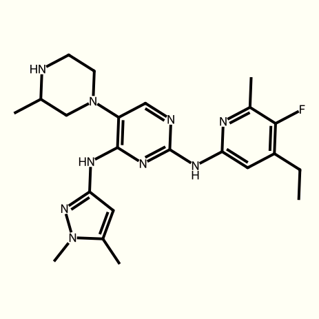 CCc1cc(Nc2ncc(N3CCNC(C)C3)c(Nc3cc(C)n(C)n3)n2)nc(C)c1F